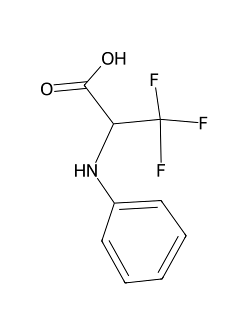 O=C(O)C(Nc1ccccc1)C(F)(F)F